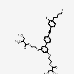 C=C(CO)C(=O)OCCOc1cc(OCCOC(=O)C(=C)CO)cc(-c2ccc(C#Cc3ccc(CCCCF)c(F)c3)cc2)c1